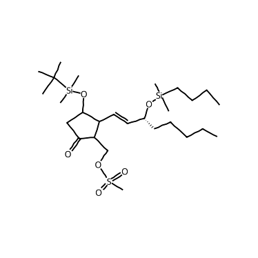 CCCCC[C@H](C=CC1C(O[Si](C)(C)C(C)(C)C)CC(=O)C1COS(C)(=O)=O)O[Si](C)(C)CCCC